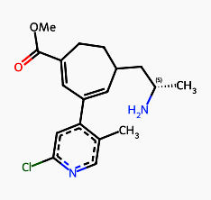 COC(=O)C1=CC(c2cc(Cl)ncc2C)=CC(C[C@H](C)N)CC1